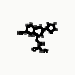 CCCC(=O)NCc1cc(-c2cccs2)cc2ccc(S)cc12